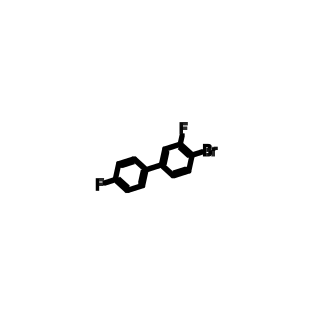 Fc1ccc(-c2ccc(Br)c(F)c2)cc1